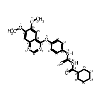 COc1cc2ncnc(Oc3ccc(NC(=S)NC(=O)C4CCCCC4)cc3)c2cc1OC